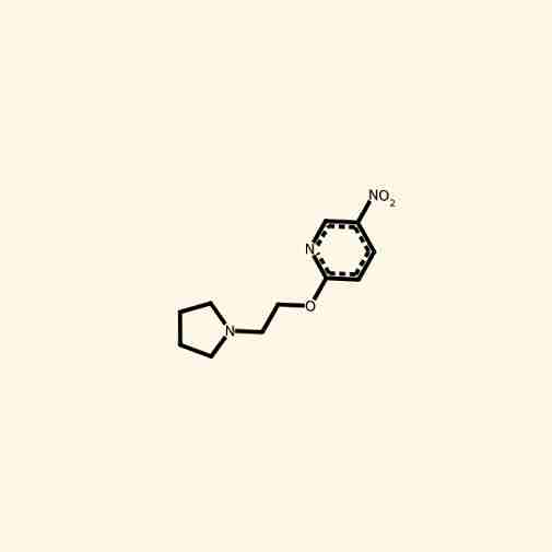 O=[N+]([O-])c1ccc(OCCN2CCCC2)nc1